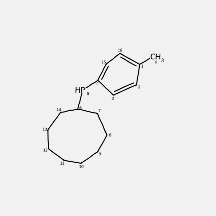 Cc1ccc(PC2CCCCCCCC2)cc1